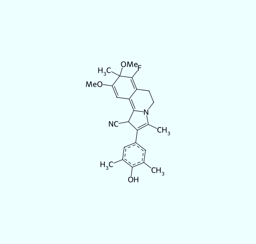 COC1=CC2=C3C(C#N)C(c4cc(C)c(O)c(C)c4)=C(C)N3CCC2=C(F)C1(C)OC